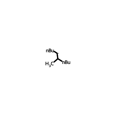 CCCC[CH]C(C)CCCC